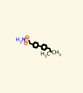 CC(C)Cc1ccc(-c2ccc(CCS(N)(=O)=O)cc2)cc1